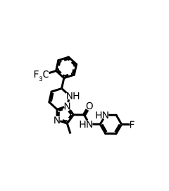 Cc1nc2n(c1C(=O)NC1=CC=C(F)CN1)NC(c1ccccc1C(F)(F)F)C=C2